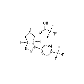 FC(F)(F)c1ccc(C2=NO[C@@H]3CNC[C@H]23)cn1.O=C(O)C(F)(F)F